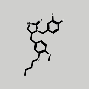 CCCCOc1cc(CC2CNC(=O)N2Cc2ccc(F)c(F)c2)ccc1OC